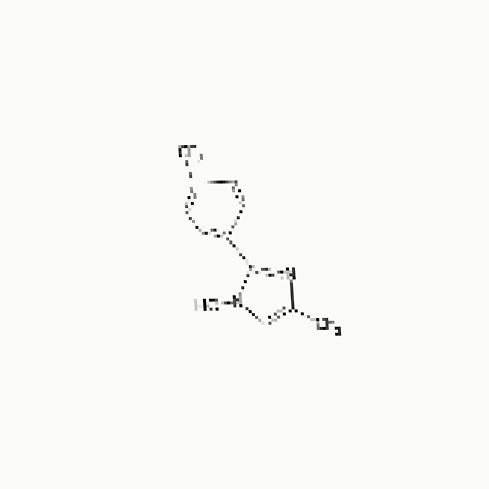 On1cc(C(F)(F)F)nc1-c1ccc(C(F)(F)F)cc1